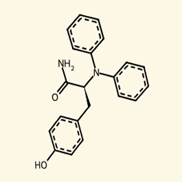 NC(=O)[C@H](Cc1ccc(O)cc1)N(c1ccccc1)c1ccccc1